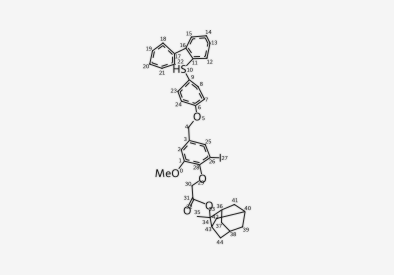 COc1cc(COc2ccc([SH]3c4ccccc4-c4ccccc43)cc2)cc(I)c1OCC(=O)OC1(C)C2CC3CC(C2)CC1C3